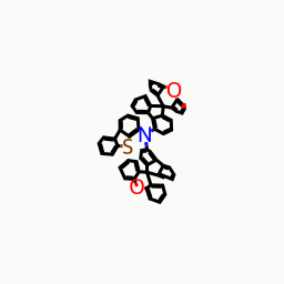 c1ccc2c(c1)Oc1ccccc1C21c2ccccc2-c2cc(N(c3cccc4c3-c3ccccc3C43c4ccccc4Oc4ccccc43)c3cccc4c3sc3ccccc34)ccc21